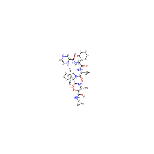 CCC[C@H](NC(=O)[C@@H]1[C@@H]2CCC[C@H]2CN1C(=O)C(NC(=O)[C@@H](NC(=O)c1cnccn1)C1CCCCC1)C(C)(C)C)C(=O)C(=O)NC1CC1